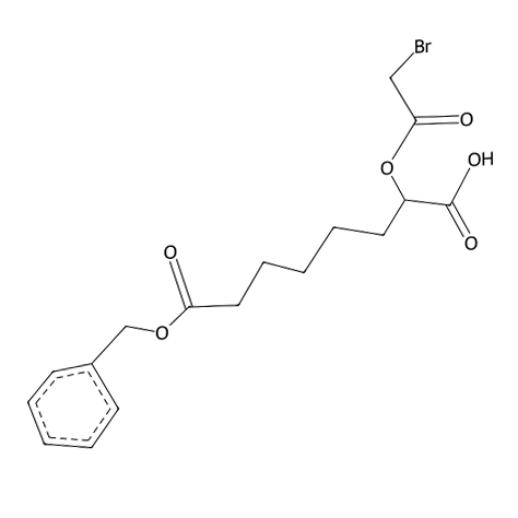 O=C(CCCCCC(OC(=O)CBr)C(=O)O)OCc1ccccc1